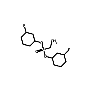 CCP(=O)(OC1CCCC(F)C1)OC1CCCC(F)C1